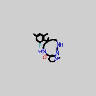 Cc1cc(C)c(C2(C)CCN/C=N/C3=C(CCCN3C)C(=O)NCC2)c(F)c1